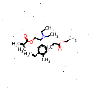 C=C(C)C(=O)OCCN(CC)CC.C=CC(=O)OCC.C=Cc1ccccc1C